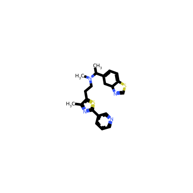 Cc1nc(-c2cccnc2)sc1CCN(C)C(C)C1=CC=C2SC=NC2C1